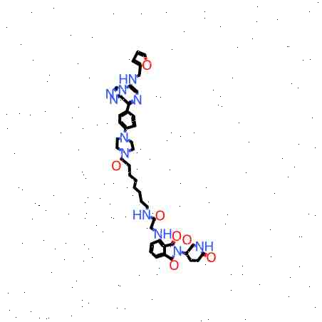 O=C(CNc1cccc2c1C(=O)N(C1CCC(=O)NC1=O)C2=O)NCCCCCCCC(=O)N1CCN(c2ccc(-c3ncc(NCc4ccco4)n4cnnc34)cc2)CC1